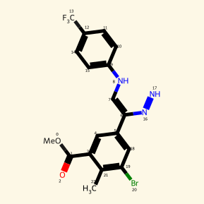 COC(=O)c1cc(/C(=C/Nc2ccc(C(F)(F)F)cc2)N=N)cc(Br)c1C